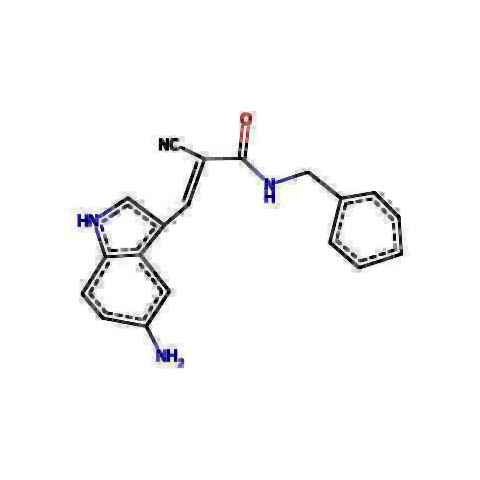 N#C/C(=C\c1c[nH]c2ccc(N)cc12)C(=O)NCc1ccccc1